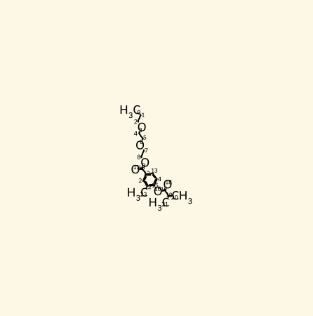 CCCOCCOCCOC(=O)c1ccc(OC(=O)C(C)C)c(C)c1